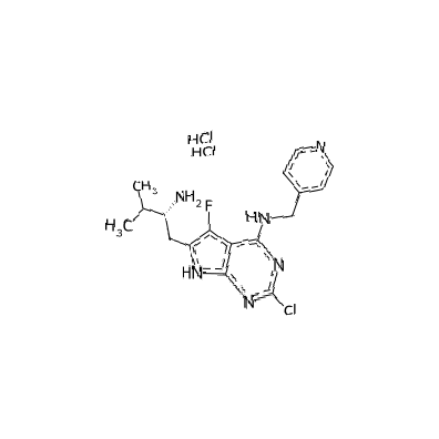 CC(C)[C@H](N)Cc1[nH]c2nc(Cl)nc(NCc3ccncc3)c2c1F.Cl.Cl